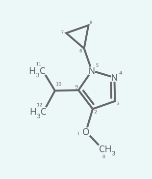 COc1cnn(C2CC2)c1C(C)C